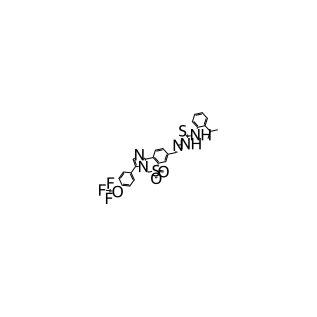 CC(C)c1ccccc1NC(=S)N/N=C/c1ccc2c(c1)S(=O)(=O)Cn1c(-c3ccc(OC(F)(F)F)cc3)cnc1-2